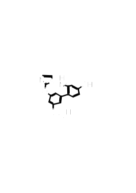 Cc1ccc(-c2cc(Oc3nccs3)cc(C(=O)O)c2)c(N)c1